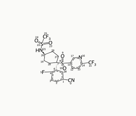 N#Cc1ccc(F)c([C@]2(S(=O)(=O)c3ccc(C(F)(F)F)nc3)CC[C@@H](NS(=O)(=O)C(F)(F)F)CC2)c1